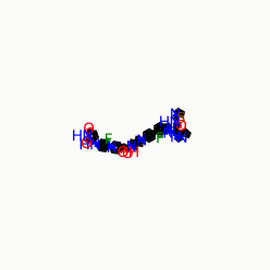 O=C1CCC(Nc2ccc(N3CCC(O)(CC(=O)N4CC5(C4)CN(c4ccc(-c6ccc7cn(C(C(=O)Nc8nccs8)c8ncn9c8CCC9)nc7c6F)cc4)C5)CC3)c(F)c2)C(=O)N1